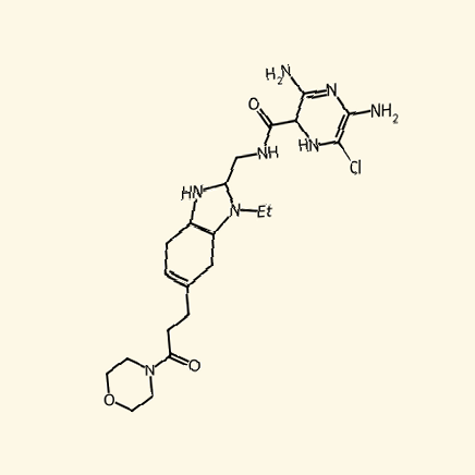 CCN1C(CNC(=O)C2NC(Cl)=C(N)N=C2N)NC2CC=C(CCC(=O)N3CCOCC3)CC21